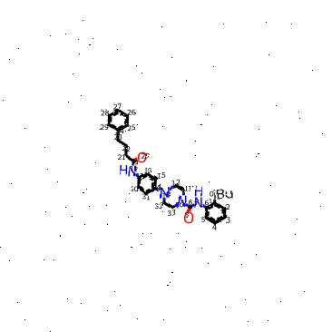 CCC(C)c1ccccc1NC(=O)N1CCN(c2ccc(NC(=O)CCCc3ccccc3)cc2)CC1